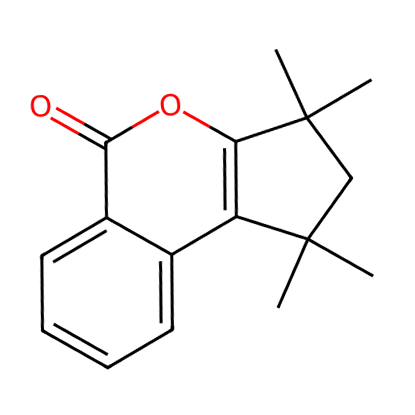 CC1(C)CC(C)(C)c2c1oc(=O)c1ccccc21